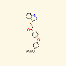 COc1ccc(Oc2ccc(C(=O)CSc3ccnc4ccccc34)cc2)cc1